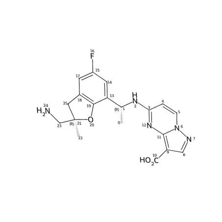 C[C@@H](Nc1ccn2ncc(C(=O)O)c2n1)c1cc(F)cc2c1O[C@@](C)(CN)C2